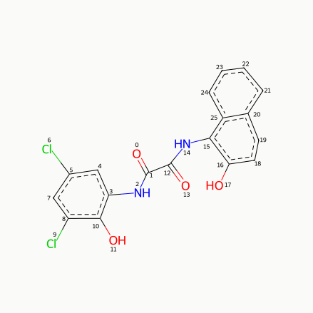 O=C(Nc1cc(Cl)cc(Cl)c1O)C(=O)Nc1c(O)ccc2ccccc12